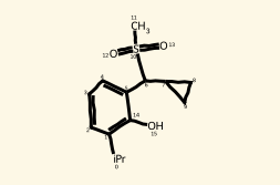 CC(C)c1cccc(C(C2CC2)S(C)(=O)=O)c1O